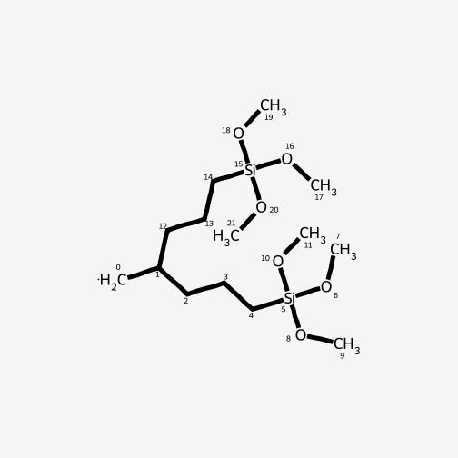 [CH2]C(CCC[Si](OC)(OC)OC)CCC[Si](OC)(OC)OC